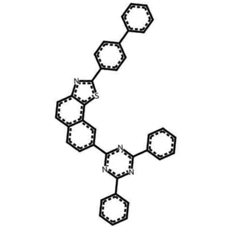 c1ccc(-c2ccc(-c3nc4ccc5ccc(-c6nc(-c7ccccc7)nc(-c7ccccc7)n6)cc5c4s3)cc2)cc1